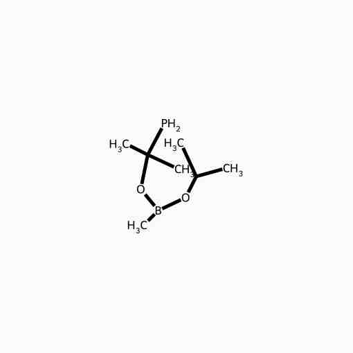 CB(OC(C)C)OC(C)(C)P